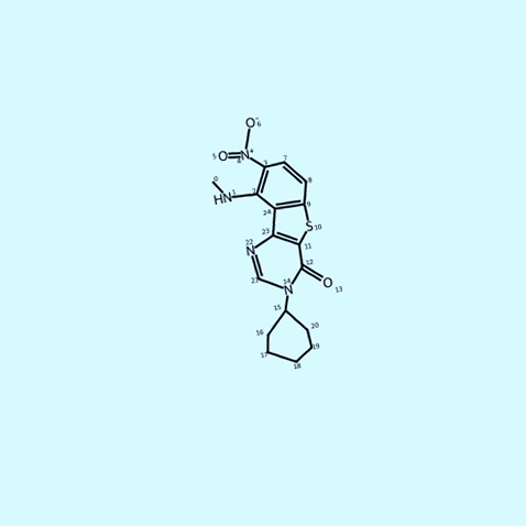 CNc1c([N+](=O)[O-])ccc2sc3c(=O)n(C4CCCCC4)cnc3c12